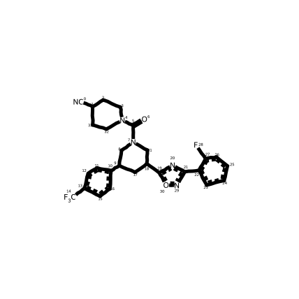 N#CC1CCN(C(=O)N2CC(c3ccc(C(F)(F)F)cc3)CC(c3nc(-c4ccccc4F)no3)C2)CC1